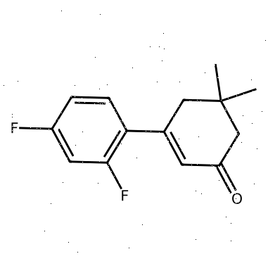 CC1(C)CC(=O)C=C(c2ccc(F)cc2F)C1